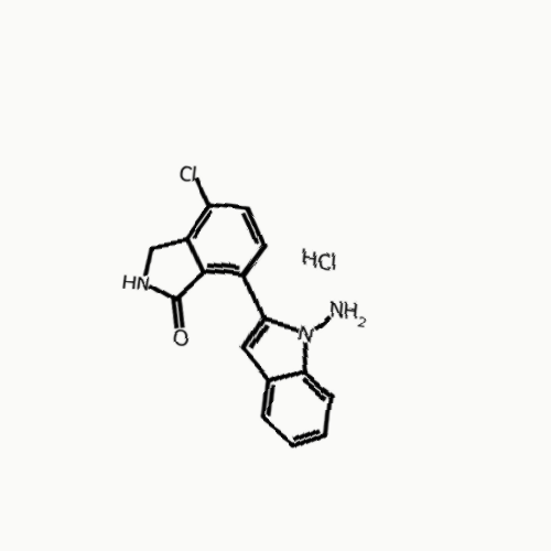 Cl.Nn1c(-c2ccc(Cl)c3c2C(=O)NC3)cc2ccccc21